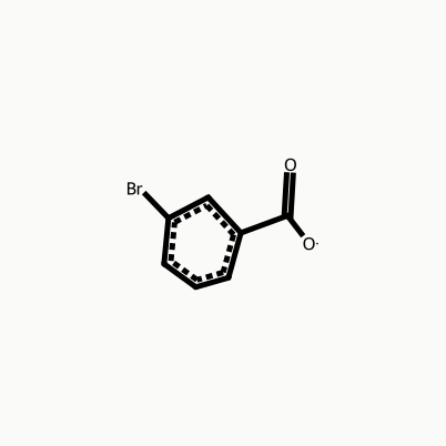 [O]C(=O)c1cccc(Br)c1